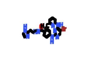 Cc1cccc(Nc2nc(Nc3ccc(C(=O)NCCCc4ncc[nH]4)cc3)ncc2Br)n1